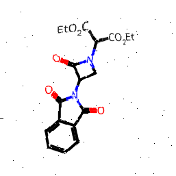 CCOC(=O)C(C(=O)OCC)N1CC(N2C(=O)c3ccccc3C2=O)C1=O